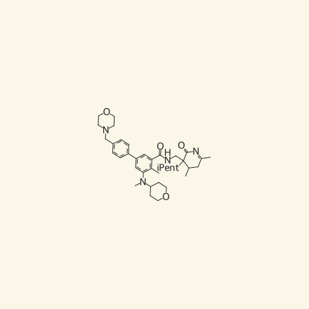 CCCC(C)C1(CNC(=O)c2cc(-c3ccc(CN4CCOCC4)cc3)cc(N(C)C3CCOCC3)c2C)C(=O)N=C(C)CC1C